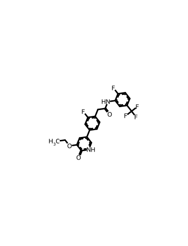 CCOc1cc(-c2ccc(CC(=O)Nc3cc(C(F)(F)F)ccc3F)c(F)c2)c[nH]c1=O